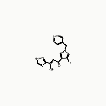 CCc1cn(Cc2ccncc2)cc1C(=O)C=C(O)c1nc[nH]n1